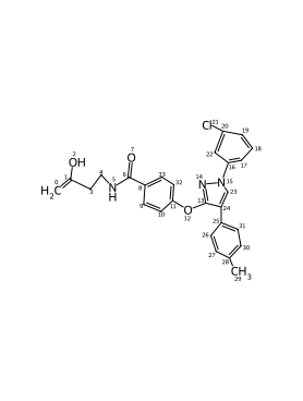 C=C(O)CCNC(=O)c1ccc(Oc2nn(-c3cccc(Cl)c3)cc2-c2ccc(C)cc2)cc1